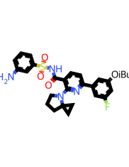 CC(C)COc1cc(F)cc(-c2ccc(C(=O)NS(=O)(=O)c3cccc(N)c3)c(N3CCCC34CC4)n2)c1